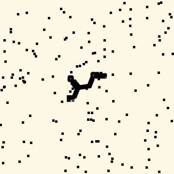 [CH2]C(C)C(=O)COC